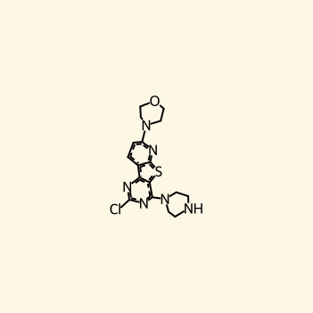 Clc1nc(N2CCNCC2)c2sc3nc(N4CCOCC4)ccc3c2n1